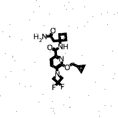 NC(=O)CC1(NC(=O)c2ccc(N3CC(F)(F)C3)c(OCC3CC3)n2)CCC1